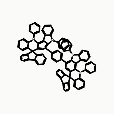 c1ccc(N2c3ccccc3C3(c4ccccc4-c4ccccc43)c3cc(-c4ccc(-c5cc6c(c7c8ccccc8n(-c8ccccc8)c57)N(c5ccccc5)c5ccccc5C65c6ccccc6-c6ccccc65)cc4)c4c(c32)c2ccccc2n4-c2ccccc2)cc1